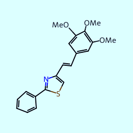 COc1cc(C=Cc2csc(-c3ccccc3)n2)cc(OC)c1OC